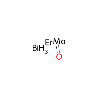 [BiH3].[Er].[O]=[Mo]